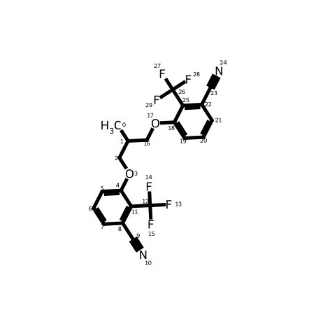 CC(COc1cccc(C#N)c1C(F)(F)F)COc1cccc(C#N)c1C(F)(F)F